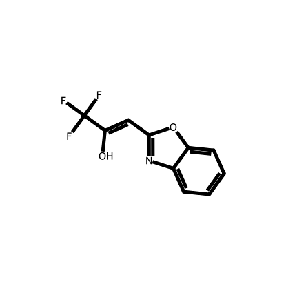 O/C(=C\c1nc2ccccc2o1)C(F)(F)F